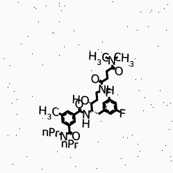 CCCN(CCC)C(=O)c1cc(C)cc(C(=O)N[C@@H](Cc2cc(F)cc(F)c2)[C@H](O)CCNC(=O)CCC(=O)N(C)C)c1